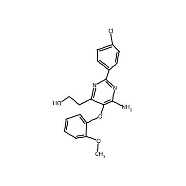 COc1ccccc1Oc1c(N)nc(-c2ccc(Cl)cc2)nc1CCO